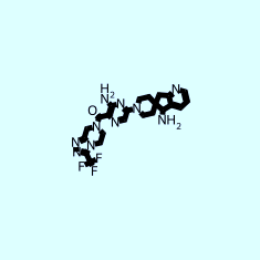 Nc1nc(N2CCC3(CC2)Cc2ncccc2C3N)cnc1C(=O)N1CCn2c(nnc2C(F)(F)F)C1